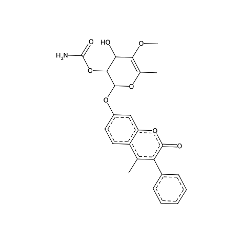 COC1=C(C)OC(Oc2ccc3c(C)c(-c4ccccc4)c(=O)oc3c2)C(OC(N)=O)C1O